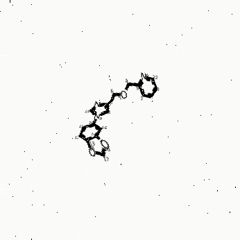 c1ccc(COCc2cn(-c3ccc4c(c3)OCO4)cn2)nc1